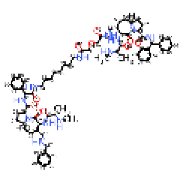 CN[C@@H](C)C(=O)NC1C(=O)N2[C@@H](CC[C@@H]1CNCc1ccccc1)CC[C@H]2C(=O)N[C@H](C(=O)NCCCCCCCCNC(=O)COCC(=O)NC[C@H]1CC[C@H]2CC[C@@H](C(=O)NC(c3ccccc3)c3ccccc3)N2C(=O)[C@H]1NC(=O)[C@H](C)NC)c1ccccc1